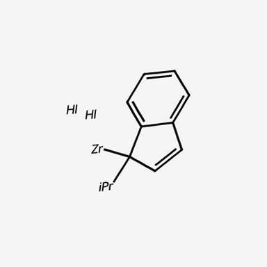 CC(C)[C]1([Zr])C=Cc2ccccc21.I.I